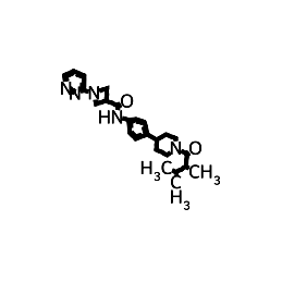 CC(C)C(C)C(=O)N1CCC(c2ccc(NC(=O)C3CN(c4cccnn4)C3)cc2)CC1